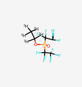 [2H]C([2H])([2H])C([2H])([2H])OP(=O)(C(F)(F)C(F)(F)F)C(F)(F)C(F)(F)F